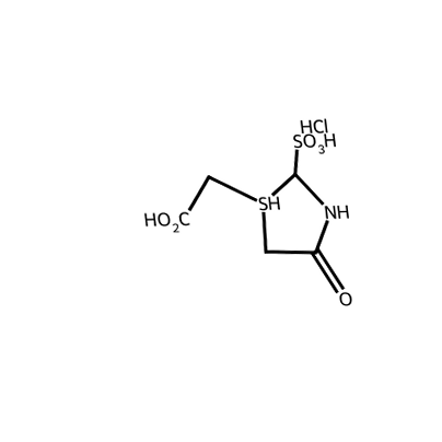 Cl.O=C(O)C[SH]1CC(=O)NC1S(=O)(=O)O